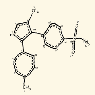 Cc1ccc(-c2[nH]cc(C)c2-c2ccc(S(N)(=O)=O)cc2)cc1